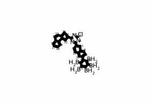 Bc1c(B)c(B)c(-c2ccc3cc(-c4nc(Cl)nc(-c5ccc6ccc7ccccc7c6c5)n4)ccc3c2)c(B)c1B